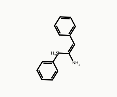 NC(=Cc1ccccc1)[SiH2]c1ccccc1